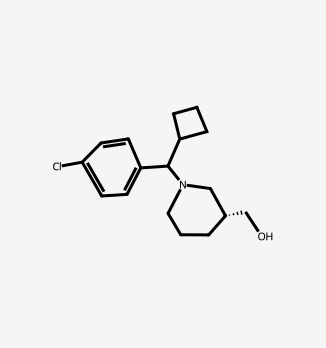 OC[C@@H]1CCCN(C(c2ccc(Cl)cc2)C2CCC2)C1